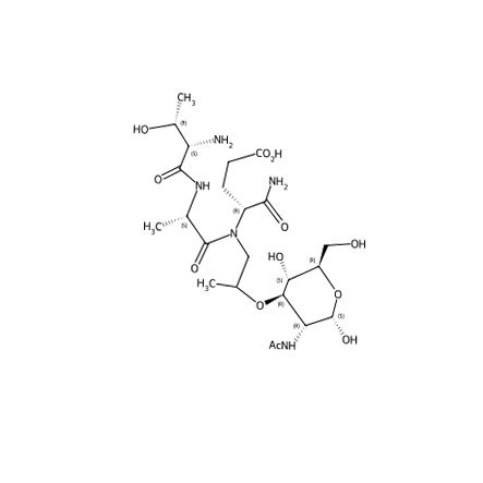 CC(=O)N[C@@H]1[C@@H](OC(C)CN(C(=O)[C@H](C)NC(=O)[C@@H](N)[C@@H](C)O)[C@H](CCC(=O)O)C(N)=O)[C@H](O)[C@@H](CO)O[C@@H]1O